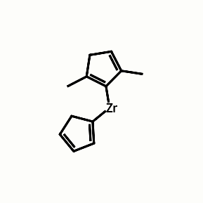 CC1=CCC(C)=[C]1[Zr][C]1=CC=CC1